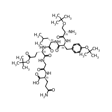 CC(C)C[C@H](NC(=O)[C@H](Cc1ccc(OC(C)(C)C)cc1)NC(=O)[C@@H](N)COC(C)(C)C)C(=O)N[C@@H](CCC(=O)OC(C)(C)C)C(=O)NCC(=O)N[C@@H](CCC(N)=O)C(=O)O